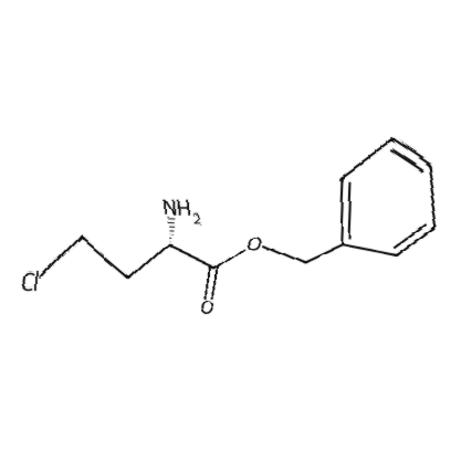 N[C@@H](CCCl)C(=O)OCc1ccccc1